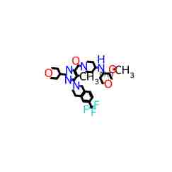 CO[C@@H]1COCC[C@@H]1NC1CCN(C(=O)c2nc(C3CCOCC3)nc(N3CCc4cc(C(F)(F)F)ccc4C3)c2C)CC1